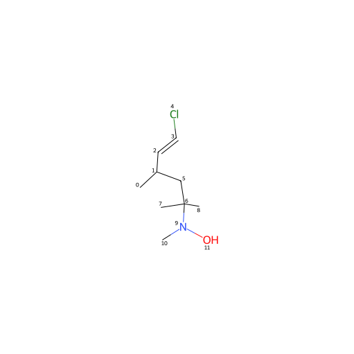 CC(/C=C/Cl)CC(C)(C)N(C)O